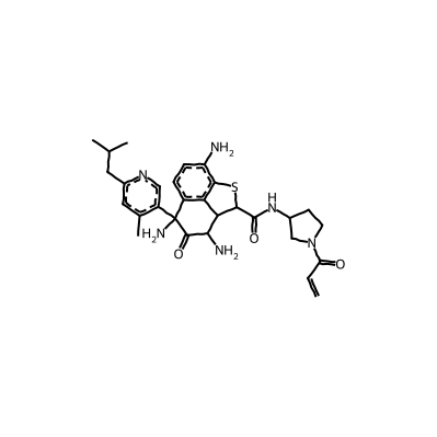 C=CC(=O)N1CCC(NC(=O)C2Sc3c(N)ccc4c3C2C(N)C(=O)C4(N)c2cnc(CC(C)C)cc2C)C1